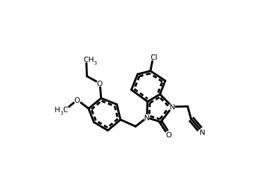 CCOc1cc(Cn2c(=O)n(CC#N)c3cc(Cl)ccc32)ccc1OC